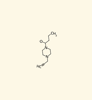 C#CCN1CCN(C([O])CCC)CC1